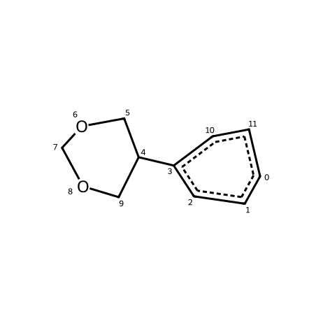 c1ccc(C2COCOC2)cc1